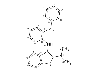 CN(C)C1Cc2ccccc2C1Nc1ccccc1Cc1ccccc1